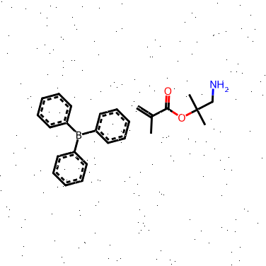 C=C(C)C(=O)OC(C)(C)CN.c1ccc(B(c2ccccc2)c2ccccc2)cc1